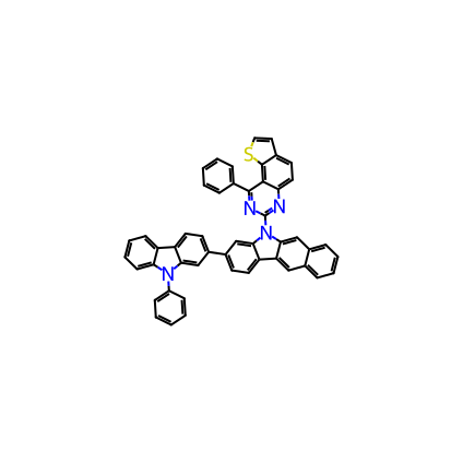 c1ccc(-c2nc(-n3c4cc(-c5ccc6c7ccccc7n(-c7ccccc7)c6c5)ccc4c4cc5ccccc5cc43)nc3ccc4ccsc4c23)cc1